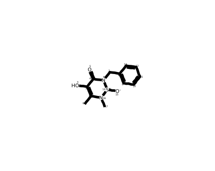 CC1=C(O)C(=O)N(Cc2ccccc2)[S+]([O-])N1C